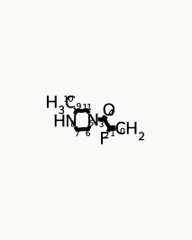 C=C(F)C(=O)N1CCN[C@H](C)C1